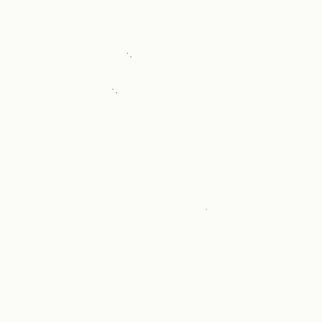 Cc1nc2ccccc2n1-c1cccc(-c2cc3c(c4ccccc24)C2(c4ccccc4-c4ccccc42)c2c-3c3ccccc3c3ccccc23)c1